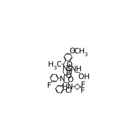 COc1ccc([C@H](C)N(CC(=O)N(c2cccc(F)c2)C(C(=O)NC2CC(F)(F)C2)c2ccccc2Cl)S(=O)(=O)NCCO)cc1